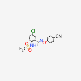 C/C(=N\Oc1ccc(C#N)cc1)c1cc(Cl)ccc1NS(=O)(=O)C(F)(F)F